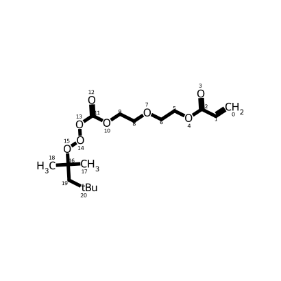 C=CC(=O)OCCOCCOC(=O)OOOC(C)(C)CC(C)(C)C